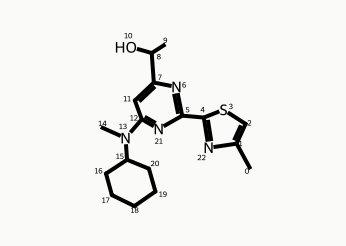 Cc1csc(-c2nc(C(C)O)cc(N(C)C3CCCCC3)n2)n1